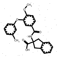 COc1ccc(C(=O)NC2(C(=O)O)Cc3ccccc3C2)cc1Oc1cccc(C)c1